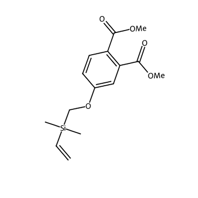 C=C[Si](C)(C)COc1ccc(C(=O)OC)c(C(=O)OC)c1